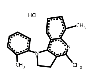 Cc1ccccc1N1CCc2c(C)nc3c(C)cccc3c21.Cl